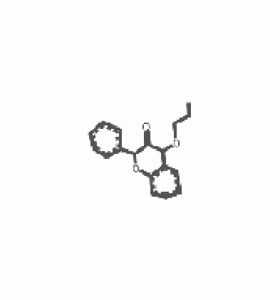 CCCOC1C(=O)C(c2ccccc2)Oc2ccccc21